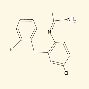 CC(N)=Nc1ccc(Cl)cc1Cc1ccccc1F